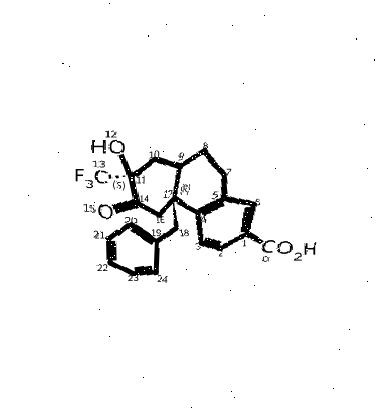 O=C(O)c1ccc2c(c1)CCC1C[C@@](O)(C(F)(F)F)C(=O)C[C@@]21Cc1ccccc1